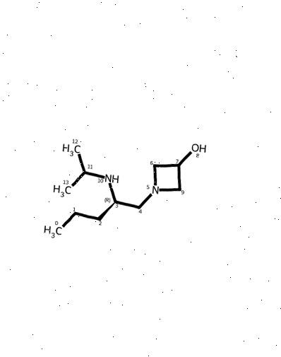 CCC[C@H](CN1CC(O)C1)NC(C)C